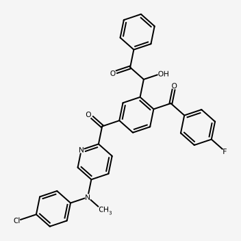 CN(c1ccc(Cl)cc1)c1ccc(C(=O)c2ccc(C(=O)c3ccc(F)cc3)c(C(O)C(=O)c3ccccc3)c2)nc1